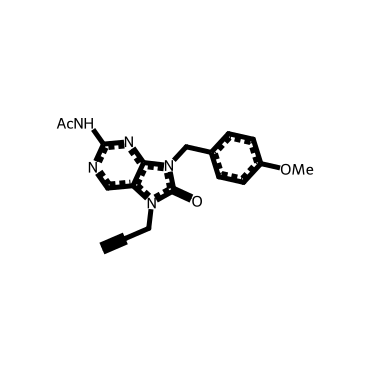 C#CCn1c(=O)n(Cc2ccc(OC)cc2)c2nc(NC(C)=O)ncc21